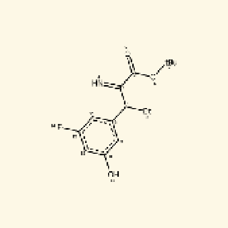 CCC(C(=N)C(=O)OC(C)(C)C)c1cc(O)cc(F)c1